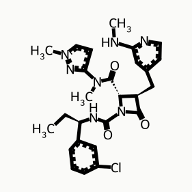 CC[C@@H](NC(=O)N1C(=O)[C@H](Cc2ccnc(NC)c2)[C@H]1C(=O)N(C)c1ccn(C)n1)c1cccc(Cl)c1